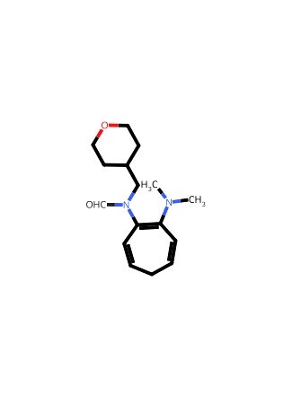 CN(C)C1=C(N(C=O)CC2CCOCC2)C=CCC=C1